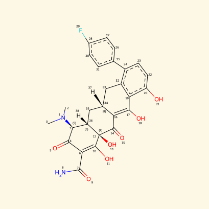 CN(C)[C@@H]1C(=O)C(C(N)=O)=C(O)[C@@]2(O)C(=O)C3=C(O)c4c(O)ccc(-c5ccc(F)cc5)c4C[C@H]3C[C@@H]12